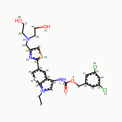 CCn1cc(NC(=O)OCc2cc(Cl)cc(Cl)c2)c2cc(-c3nc(CN(CCO)CCO)cs3)ccc21